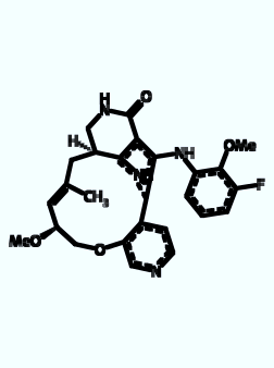 COc1c(F)cccc1Nc1c2[nH]c3c1C(=O)NC[C@@H]3C/C(C)=C/[C@H](OC)COc1cnccc1-2